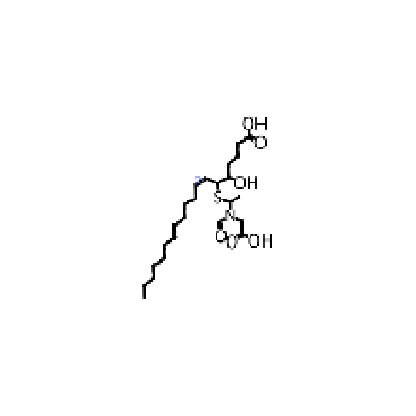 CCCCCCCCCCC/C=C\C(SC(C)N(C=O)CC(=O)O)C(O)CCCC(=O)O